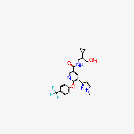 Cn1ccc(-c2cc(C(=O)NCC(CO)C3CC3)cnc2Oc2ccc(C(F)(F)F)cc2)n1